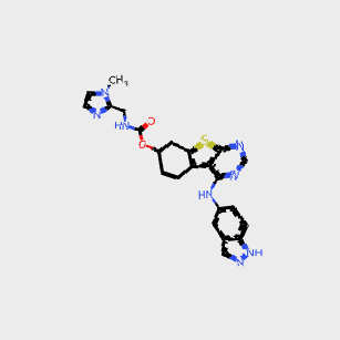 Cn1ccnc1CNC(=O)OC1CCc2c(sc3ncnc(Nc4ccc5[nH]ncc5c4)c23)C1